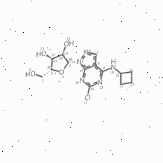 OC[C@H]1O[C@@H](n2ncc3c(NC4CCC4)nc(Cl)nc32)[C@H](O)[C@@H]1O